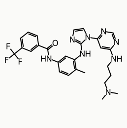 Cc1ccc(NC(=O)c2cccc(C(F)(F)F)c2)cc1Nc1nccn1-c1cc(NCCCN(C)C)ncn1